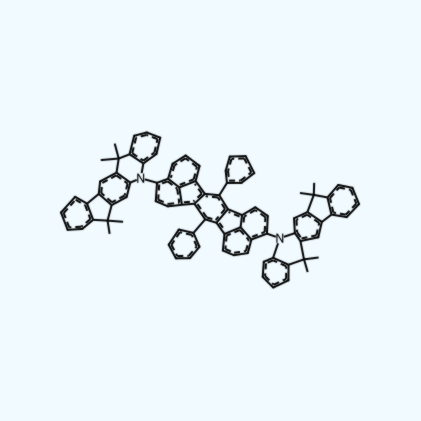 CC1(C)c2ccccc2-c2cc3c(cc21)N(c1ccc2c4c(-c5ccccc5)c5c6cccc7c(N8c9ccccc9C(C)(C)c9cc%10c(cc98)C(C)(C)c8ccccc8-%10)ccc(c5c(-c5ccccc5)c4c4cccc1c42)c76)c1ccccc1C3(C)C